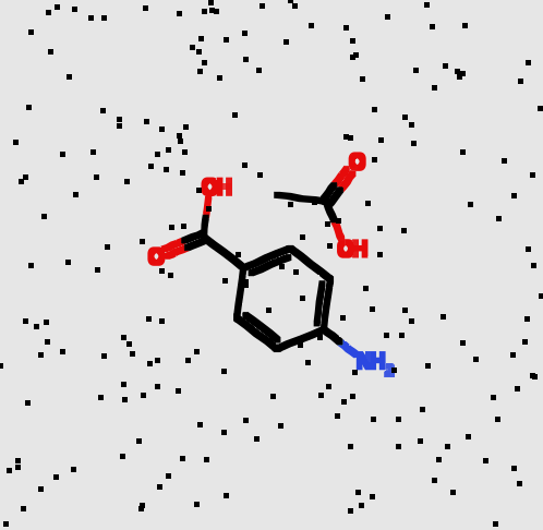 CC(=O)O.Nc1ccc(C(=O)O)cc1